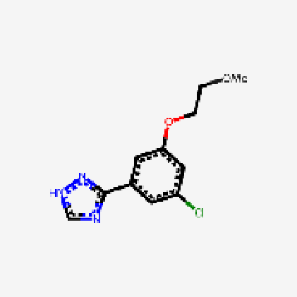 COCCOc1cc(Cl)cc(-c2nc[nH]n2)c1